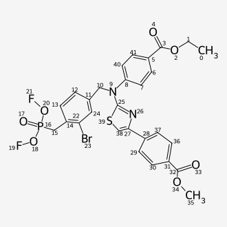 CCOC(=O)c1ccc(N(Cc2ccc(CP(=O)(OF)OF)c(Br)c2)c2nc(-c3ccc(C(=O)OC)cc3)cs2)cc1